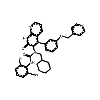 CC(C)c1cccc(C(C)C)c1NC(=O)N(CC1CCCCC1)c1c(-c2cccc(OCc3ccncc3)c2)c2cccnc2[nH]c1=O